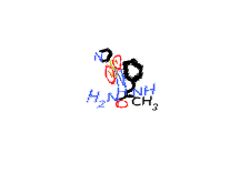 Cc1[nH]c(-c2ccccc2NS(=O)(=O)c2cccnc2)cc1C(N)=O